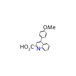 COc1ccc(-c2cc(C(=O)O)nc3ccccc23)cc1